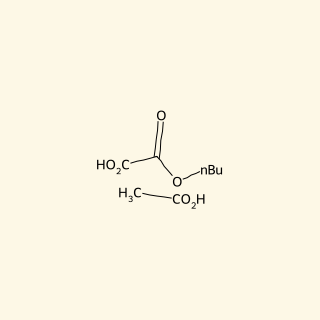 CC(=O)O.CCCCOC(=O)C(=O)O